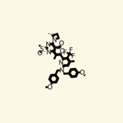 COc1ccc(CN(Cc2ccc(OC)cc2)c2cc(C)c(C(F)(F)F)c(-c3oc(=O)c4c(N5CC[C@H]5C)nc([S+](C)[O-])nc4c3C)n2)cc1